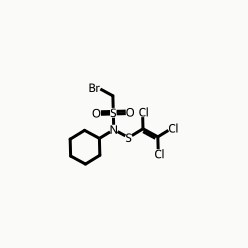 O=S(=O)(CBr)N(SC(Cl)=C(Cl)Cl)C1CCCCC1